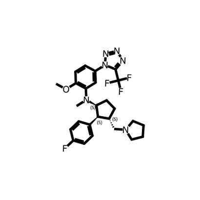 COc1ccc(-n2nnnc2C(F)(F)F)cc1N(C)[C@H]1CC[C@H](CN2CCCC2)[C@H]1c1ccc(F)cc1